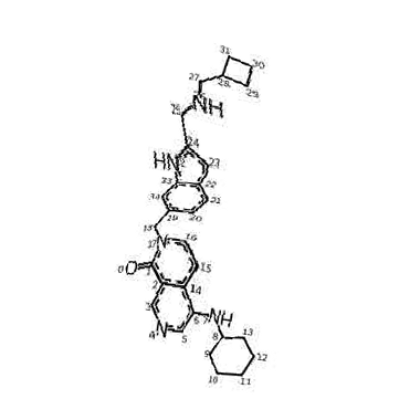 O=c1c2cncc(NC3CCCCC3)c2ccn1Cc1ccc2cc(CNCC3CCC3)[nH]c2c1